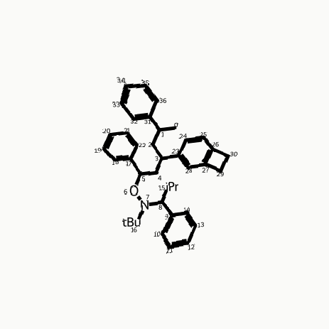 CC(CC(CC(ON(C(c1ccccc1)C(C)C)C(C)(C)C)c1ccccc1)c1ccc2c(c1)CC2)c1ccccc1